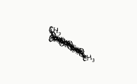 CCCCOC(=O)c1ccc(-c2ccc(OC(=O)[C@H]3CC[C@H](C(=O)Oc4ccc(-c5ccc(C(=O)OCCCC)cc5)cc4)CC3)cc2)cc1